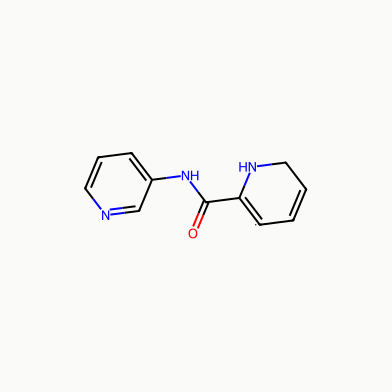 O=C(Nc1cccnc1)C1=[C]C=CCN1